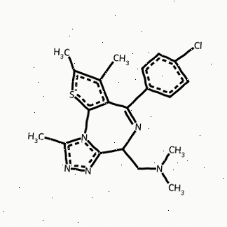 Cc1sc2c(c1C)C(c1ccc(Cl)cc1)=NC(CN(C)C)c1nnc(C)n1-2